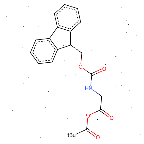 CC(C)(C)C(=O)OC(=O)CNC(=O)OCC1c2ccccc2-c2ccccc21